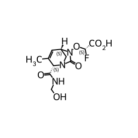 CC1=C[C@H]2CN(C(=O)N2O[C@@H](F)C(=O)O)[C@@H]1C(=O)NCO